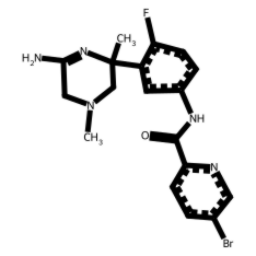 CN1CC(N)=NC(C)(c2cc(NC(=O)c3ccc(Br)cn3)ccc2F)C1